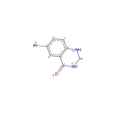 CC(C)c1ccc2c(c1)C(=O)NCN2